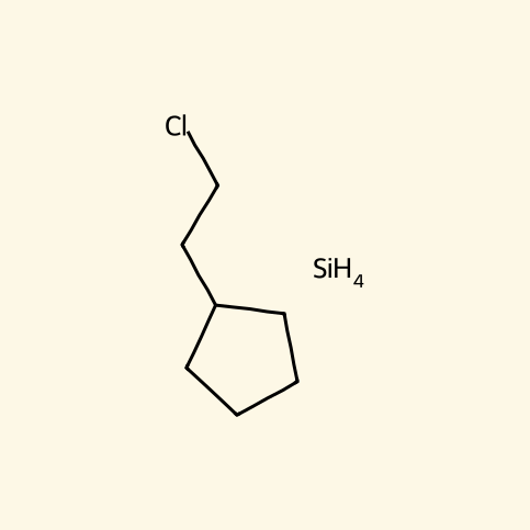 ClCCC1CCCC1.[SiH4]